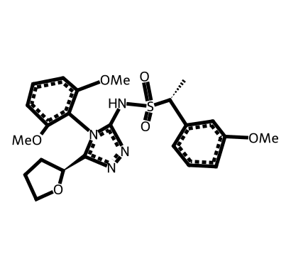 COc1cccc([C@@H](C)S(=O)(=O)Nc2nnc([C@@H]3CCCO3)n2-c2c(OC)cccc2OC)c1